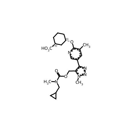 Cc1cc(-c2nnn(C)c2COC(=O)N(C)CC2CC2)cnc1O[C@H]1CCC[C@H](C(=O)O)C1